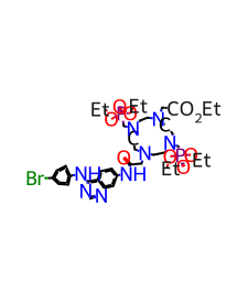 CCOC(=O)CN1CCN(CP(=O)(OCC)OCC)CCN(CC(=O)Nc2ccc3c(Nc4ccc(Br)cc4)ncnc3c2)CCN(CP(=O)(OCC)OCC)CC1